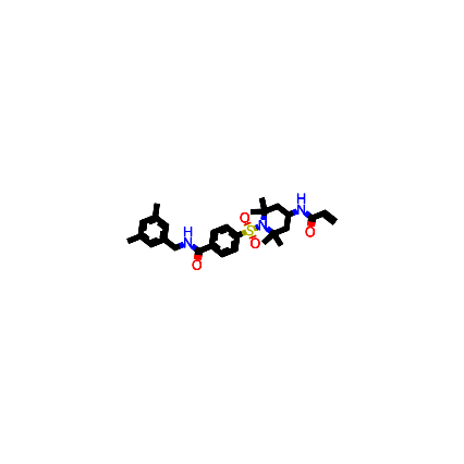 C=CC(=O)NC1CC(C)(C)N(S(=O)(=O)c2ccc(C(=O)NCc3cc(C)cc(C)c3)cc2)C(C)(C)C1